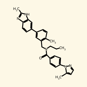 CCCN(Cc1cc(-c2ccc3nc(C)[nH]c3c2)ccc1C)C(=O)c1ccc(-n2nccc2C)cc1